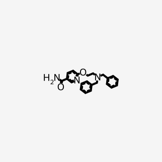 NC(=O)c1ccc(OCCN(Cc2ccccc2)Cc2ccccc2)nc1